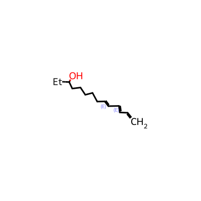 C=C/C=C/C=C/CCCCCC(O)CC